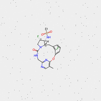 CCS(=O)(=O)N[C@H]1[C@@H](F)CN2C(=O)NCc3ncc(C)c(n3)Oc3cccc(c3F)C[C@@H]12